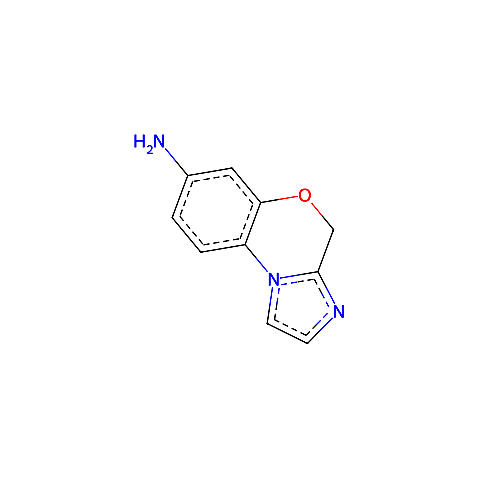 Nc1ccc2c(c1)OCc1nccn1-2